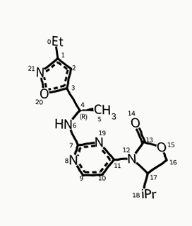 CCc1cc([C@@H](C)Nc2nccc(N3C(=O)OCC3C(C)C)n2)on1